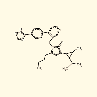 CCCCc1cn(C2C(C)C2C(C)C)c(=O)n1Cc1cnccc1-c1ccc(-c2nnn[nH]2)cc1